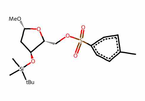 CO[C@H]1C[C@H](O[Si](C)(C)C(C)(C)C)[C@@H](COS(=O)(=O)c2ccc(C)cc2)O1